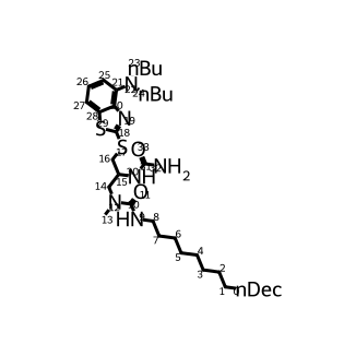 CCCCCCCCCCCCCCCCCCNC(=O)N(C)CC(CSc1nc2c(N(CCCC)CCCC)cccc2s1)NC(N)=O